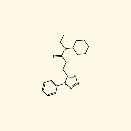 CCN(C(=S)CCc1nnnn1-c1ccccc1)C1CCCCC1